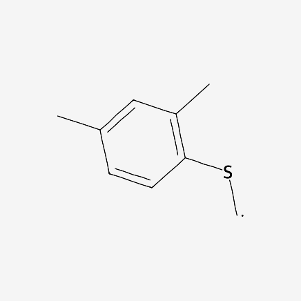 [CH2]Sc1ccc(C)cc1C